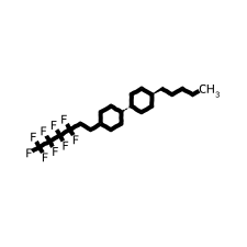 CCCCC[C@H]1CC[C@H](C2CCC(CCC(F)(F)C(F)(F)C(F)(F)C(F)(F)F)CC2)CC1